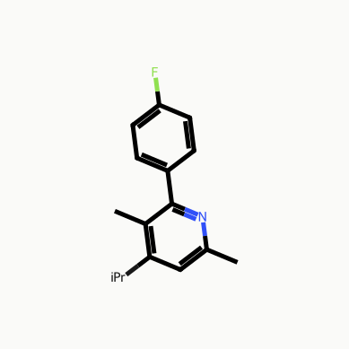 Cc1cc(C(C)C)c(C)c(-c2ccc(F)cc2)n1